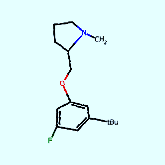 CN1CCCC1COc1cc(F)cc(C(C)(C)C)c1